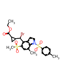 CCOC(=O)C1CC1C(Br)c1c(S(C)(=O)=O)cc(C)c2c1ccn2S(=O)(=O)c1ccc(C)cc1